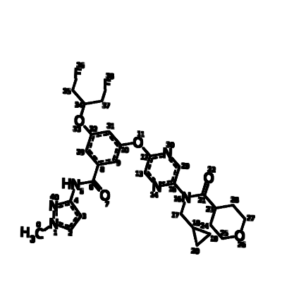 Cn1ccc(NC(=O)c2cc(Oc3cnc(N(CC4CC4)C(=O)C4CCOCC4)cn3)cc(OC(CF)CF)c2)n1